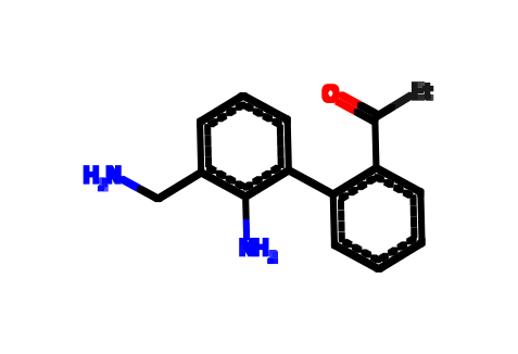 CCC(=O)c1ccccc1-c1cccc(CN)c1N